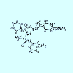 CCC(CC)OC(=O)[C@H](C)N[P@](=O)(OC[C@H]1OC[C@@H](n2ccc(N)nc2=O)O1)Oc1ccccc1